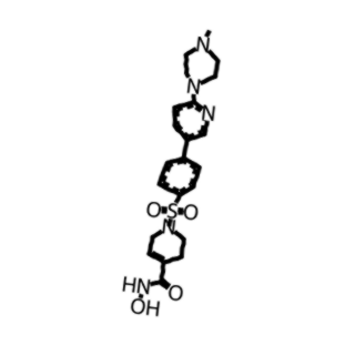 CN1CCN(c2ccc(-c3ccc(S(=O)(=O)N4CC=C(C(=O)NO)CC4)cc3)cn2)CC1